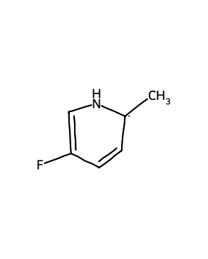 C[C]1C=CC(F)=CN1